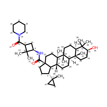 CC1([C@@H]2CC[C@]3(C(=O)N[C@@H]4CC(C(=O)N5CCCCC5)C4(C)C)CC[C@]4(C)[C@H](CC[C@@H]5[C@@]6(C)CC[C@H](O)C(C)(C)[C@@H]6CC[C@]54C)C23)CC1